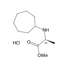 COC(=O)[C@H](C)NC1CCCCCC1.Cl